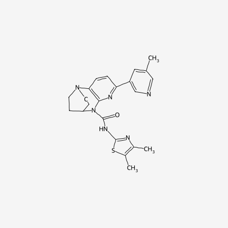 Cc1cncc(-c2ccc3c(n2)N(C(=O)Nc2nc(C)c(C)s2)C2CCN3CC2)c1